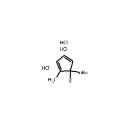 CCCC[C]1([V])C=CC=C1C.Cl.Cl.Cl